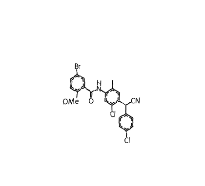 COc1ccc(Br)cc1C(=O)Nc1cc(Cl)c(C(C#N)c2ccc(Cl)cc2)cc1C